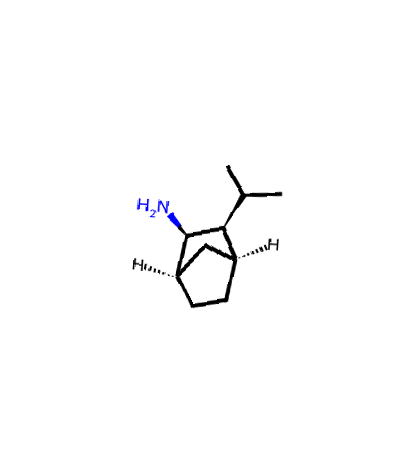 CC(C)[C@H]1[C@H]2CC[C@H](C2)[C@H]1N